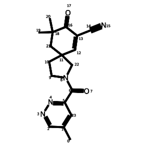 Cc1cnnc(C(=O)N2CCC3(C=C(C#N)C(=O)C(C)(C)C3)C2)c1